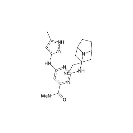 CNC(=O)c1cc(Nc2cc(C)[nH]n2)nc(NC2CC3CCC(C2)N3CCC#N)n1